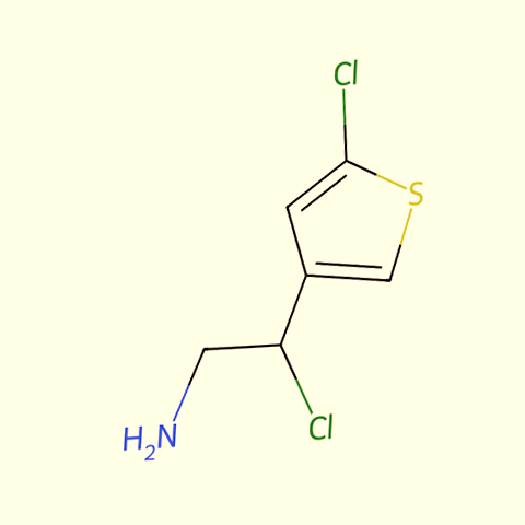 NCC(Cl)c1csc(Cl)c1